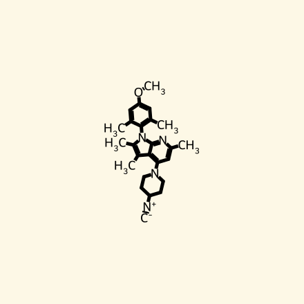 [C-]#[N+]C1CCN(c2cc(C)nc3c2c(C)c(C)n3-c2c(C)cc(OC)cc2C)CC1